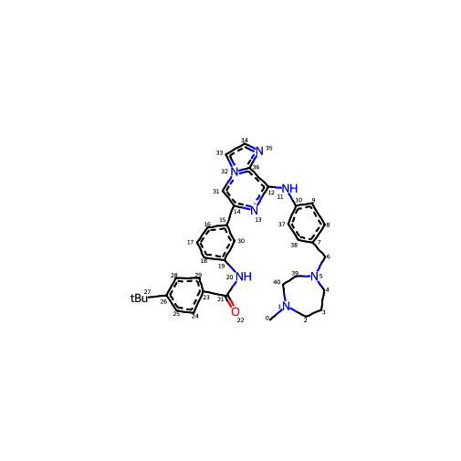 CN1CCCN(Cc2ccc(Nc3nc(-c4cccc(NC(=O)c5ccc(C(C)(C)C)cc5)c4)cn4ccnc34)cc2)CC1